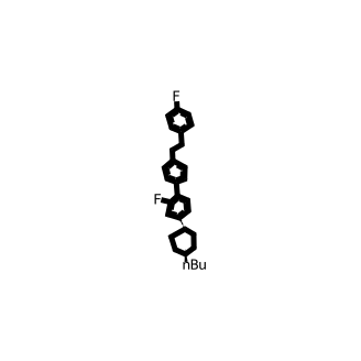 CCCC[C@H]1CC[C@H](c2ccc(-c3ccc(CCc4ccc(F)cc4)cc3)c(F)c2)CC1